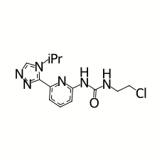 CC(C)n1cnnc1-c1cccc(NC(=O)NCCCl)n1